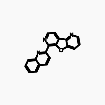 c1ccc2nc(-c3nccc4c3oc3cccnc34)ccc2c1